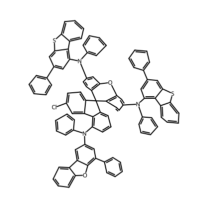 Clc1ccc2c(c1)-c1c(N(c3ccccc3)c3cc(-c4ccccc4)c4oc5ccccc5c4c3)cccc1C21c2ccc(N(c3ccccc3)c3cc(-c4ccccc4)cc4sc5ccccc5c34)cc2Oc2cc(N(c3ccccc3)c3cc(-c4ccccc4)cc4sc5ccccc5c34)ccc21